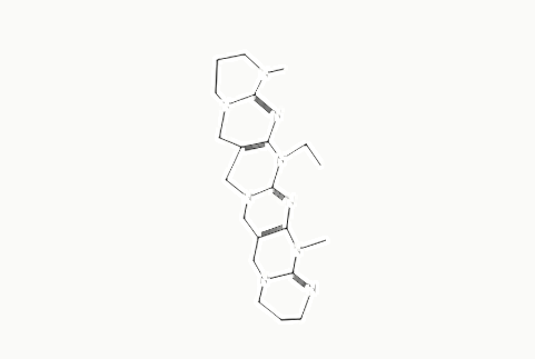 CCN1C2=NC3=C(CN4CCCN=C4N3C)CN2CC2=C1N=C1N(C)CCCN1C2